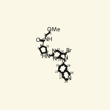 COCCNC(=O)[C@@H]1CC[C@@H](Nc2ncc3c(Br)nn(-c4ccc5ccncc5c4)c3n2)C1